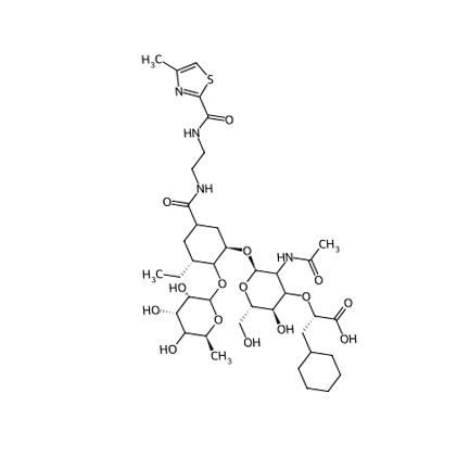 CC[C@@H]1CC(C(=O)NCCNC(=O)c2nc(C)cs2)C[C@@H](O[C@@H]2O[C@@H](CO)[C@H](O)C(O[C@@H](CC3CCCCC3)C(=O)O)C2NC(C)=O)C1OC1O[C@@H](C)C(O)[C@H](O)[C@@H]1O